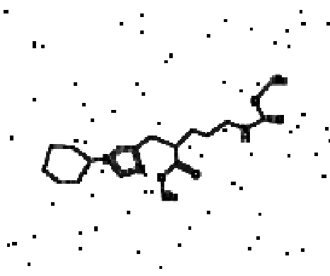 CC(C)(C)OC(=O)NCCCC(Cc1cn(C2CCCCC2)cn1)C(=O)OC(C)(C)C